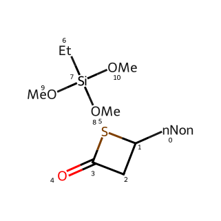 CCCCCCCCCC1CC(=O)S1.CC[Si](OC)(OC)OC